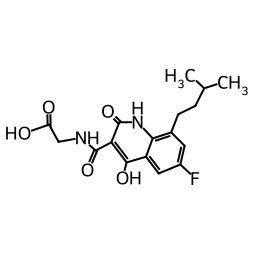 CC(C)CCc1cc(F)cc2c(O)c(C(=O)NCC(=O)O)c(=O)[nH]c12